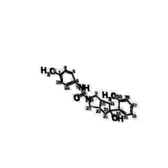 Cc1ccc(NC(=O)N2CC3CC(O)(c4ccccc4C)CC3C2)cc1